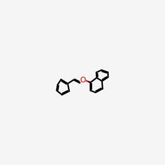 C(=Cc1ccccc1)Oc1cccc2ccccc12